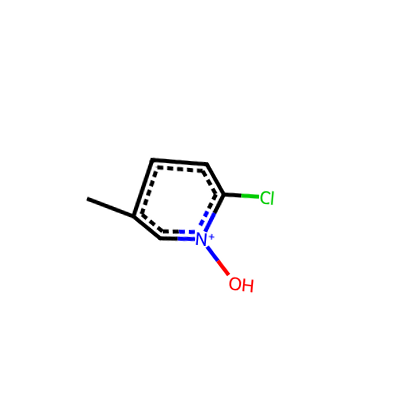 Cc1ccc(Cl)[n+](O)c1